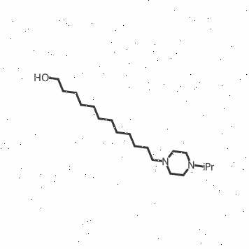 CC(C)N1CCN(CCCCCCCCCCCCO)CC1